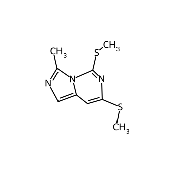 CSc1cc2cnc(C)n2c(SC)n1